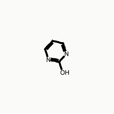 Oc1nc[c]cn1